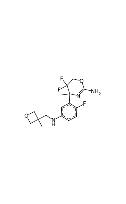 CC1(CNc2ccc(F)c(C3(C)N=C(N)OCC3(F)F)c2)COC1